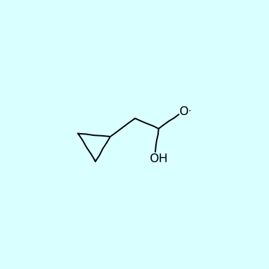 [O]C(O)CC1CC1